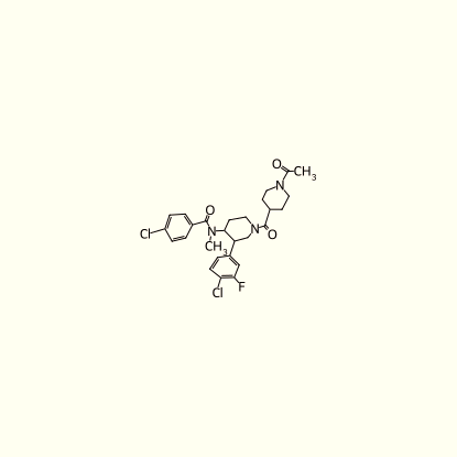 CC(=O)N1CCC(C(=O)N2CCC(N(C)C(=O)c3ccc(Cl)cc3)C(c3ccc(Cl)c(F)c3)C2)CC1